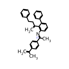 C=C(C)c1ccc(/C(C)=N/c2cccc(-c3ccccc3)c2C(=C)CCc2ccccc2)cc1